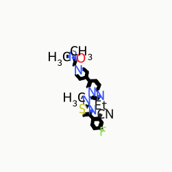 CCc1nc2ccc(C3CCN(CC(=O)N(C)C)CC3)cn2c1N(C)c1nc(-c2ccc(F)cc2C#N)cs1